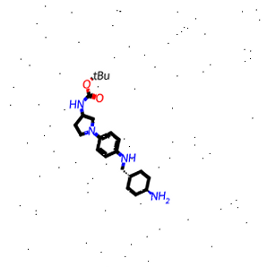 CC(C)(C)OC(=O)NC1CCN(c2ccc(NC[C@H]3CC[C@H](N)CC3)cc2)C1